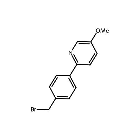 COc1ccc(-c2ccc(CBr)cc2)nc1